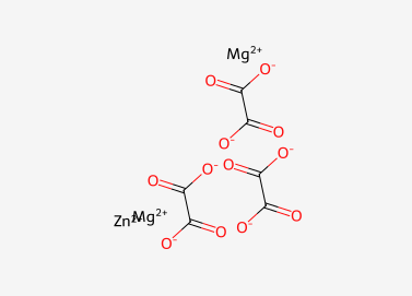 O=C([O-])C(=O)[O-].O=C([O-])C(=O)[O-].O=C([O-])C(=O)[O-].[Mg+2].[Mg+2].[Zn+2]